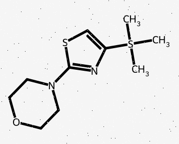 CS(C)(C)c1csc(N2CCOCC2)n1